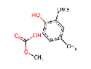 COC(=O)O.COc1cc(C)ccc1O